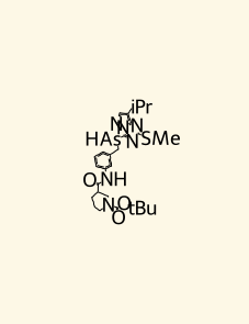 CSc1nc([AsH]Cc2cccc(NC(=O)C3CCCN(C(=O)OC(C)(C)C)C3)c2)n2ncc(C(C)C)c2n1